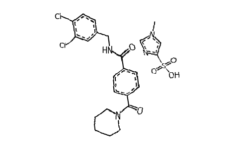 Cn1cnc(S(=O)(=O)O)c1.O=C(NCc1ccc(Cl)c(Cl)c1)c1ccc(C(=O)N2CCCCC2)cc1